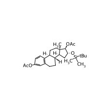 CC(=O)Oc1ccc2c(c1)CC[C@@H]1[C@@H]2CC[C@@]2(C)[C@H]1C[C@@H](O[Si](C)(C)C(C)(C)C)[C@@H]2OC(C)=O